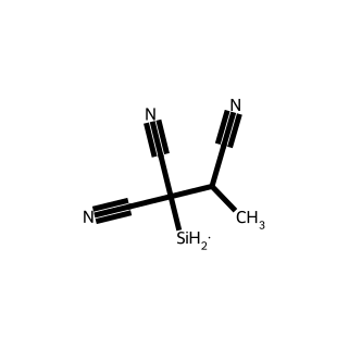 CC(C#N)C([SiH2])(C#N)C#N